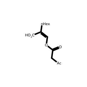 CCCCCCC(=COC(=O)CC(C)=O)C(=O)O